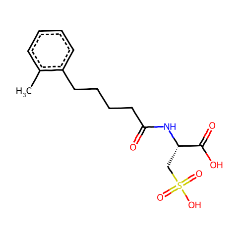 Cc1ccccc1CCCCC(=O)N[C@@H](CS(=O)(=O)O)C(=O)O